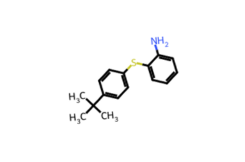 CC(C)(C)c1ccc(Sc2ccccc2N)cc1